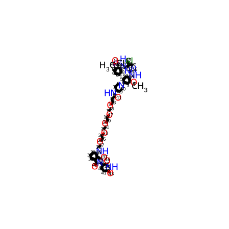 COc1cc(N2CCC(NC(=O)CCOCCOCCOCCOCCOCCNc3cccc4c3C(=O)N(C3CCC(=O)NC3=O)C4=O)CC2)ccc1Nc1ncc(Cl)c(Nc2ccccc2P(C)(C)=O)n1